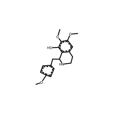 COc1ccc(CC2NCCc3cc(OC)c(OC)c(O)c32)cc1